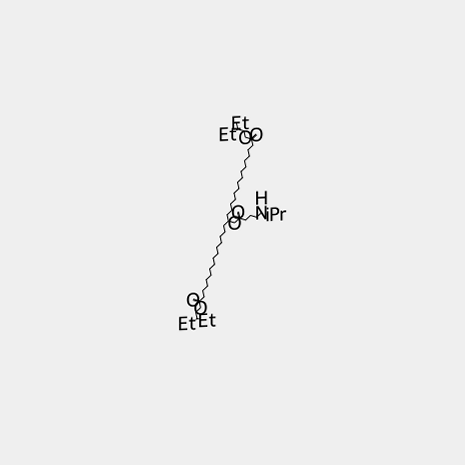 CCC(CC)COC(=O)CCCCCCCCCCCCCCC(CCCCCCCCCCCCCCC(=O)OCC(CC)CC)OC(=O)CCCNC(C)C